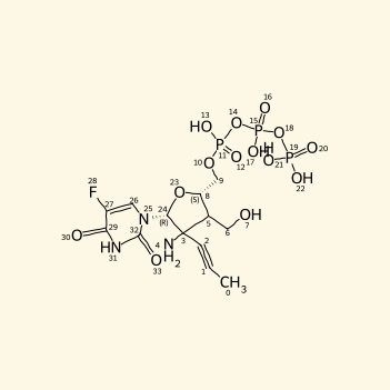 CC#CC1(N)C(CO)[C@@H](COP(=O)(O)OP(=O)(O)OP(=O)(O)O)O[C@H]1n1cc(F)c(=O)[nH]c1=O